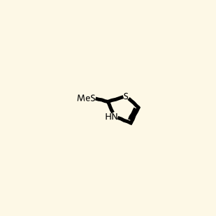 [CH]SC1NC=CS1